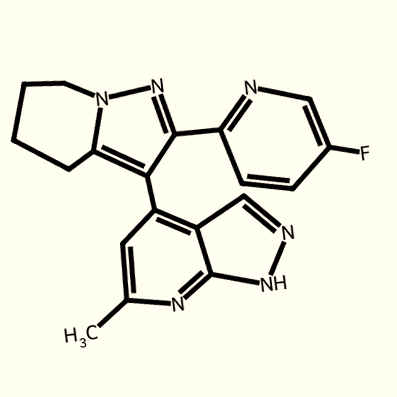 Cc1cc(-c2c(-c3ccc(F)cn3)nn3c2CCCC3)c2cn[nH]c2n1